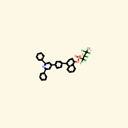 O=S(=O)(Oc1ccc(-c2ccc(-c3cc(-c4ccccc4)nc(-c4ccccc4)c3)cc2)c2ccccc12)C(F)(F)C(F)(F)C(F)(F)C(F)(F)F